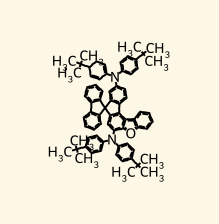 CC(C)(C)c1ccc(N(C2=CCC(C(C)(C)C)C=C2)c2ccc3c(c2)C2(c4ccccc4-c4ccccc42)c2cc(N(c4ccc(C(C)(C)C)cc4)c4ccc(C(C)(C)C)cc4)c4oc5ccccc5c4c2-3)cc1